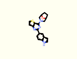 c1cc2cc(-c3nc(N4CC5CCC(C4)O5)c4sccc4n3)ccc2[nH]1